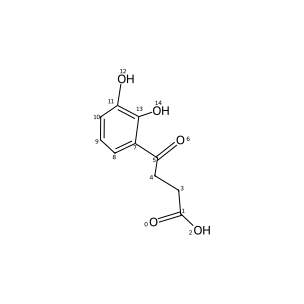 O=C(O)CCC(=O)c1cccc(O)c1O